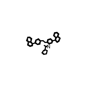 C/C(=N\c1cc(-c2cccc3ccccc23)ccc1CCc1ccc(-c2cccc3ccccc23)cc1)C1=CC=CCC1